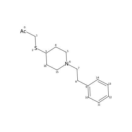 CC(=O)CSC1CCN(CCc2ccccc2)CC1